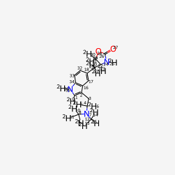 [2H]c1c(CC([2H])([2H])N(C([2H])([2H])[2H])C([2H])([2H])[2H])c2cc(C([2H])([2H])[C@]3([2H])N([2H])C(=O)OC3([2H])[2H])ccc2n1[2H]